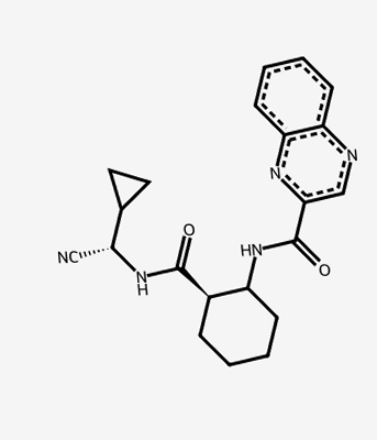 N#C[C@@H](NC(=O)[C@@H]1CCCCC1NC(=O)c1cnc2ccccc2n1)C1CC1